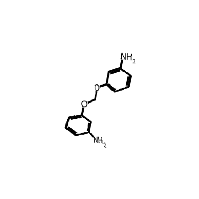 Nc1cccc(OCOc2cccc(N)c2)c1